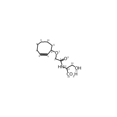 O=C(COC1C#CCCCCC1)NC(CO)C(=O)O